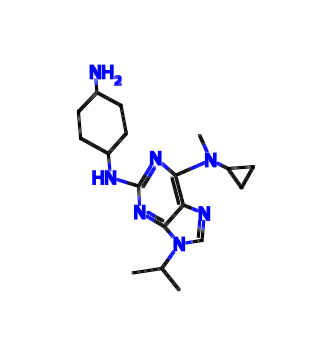 CC(C)n1cnc2c(N(C)C3CC3)nc(NC3CCC(N)CC3)nc21